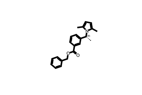 Cc1ccc(C)n1[C@H](C)c1cccc(C(=O)OCc2ccccc2)c1